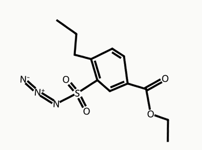 CCCc1ccc(C(=O)OCC)cc1S(=O)(=O)N=[N+]=[N-]